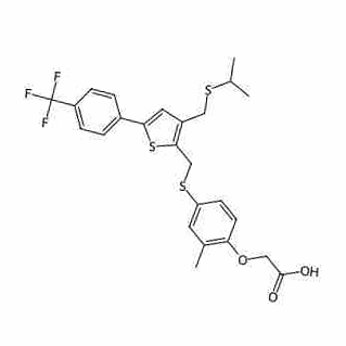 Cc1cc(SCc2sc(-c3ccc(C(F)(F)F)cc3)cc2CSC(C)C)ccc1OCC(=O)O